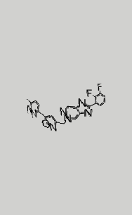 Cc1ccc(-c2cc(Cn3cc4nc(-c5cccc(F)c5F)nc-4cn3)no2)nn1